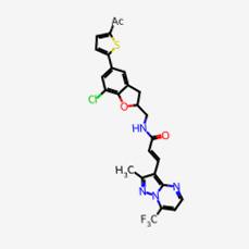 CC(=O)c1ccc(-c2cc(Cl)c3c(c2)CC(CNC(=O)C=Cc2c(C)nn4c(C(F)(F)F)ccnc24)O3)s1